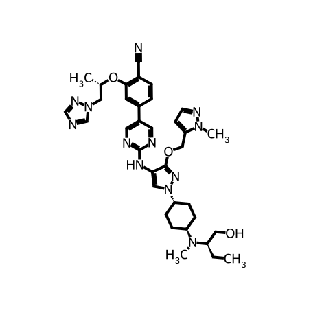 CC[C@H](CO)N(C)[C@H]1CC[C@H](n2cc(Nc3ncc(-c4ccc(C#N)c(O[C@@H](C)Cn5cncn5)c4)cn3)c(OCc3ccnn3C)n2)CC1